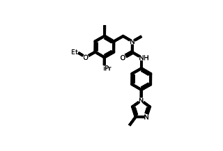 CCOc1cc(C)c(CN(C)C(=O)Nc2ccc(-n3cnc(C)c3)cc2)cc1C(C)C